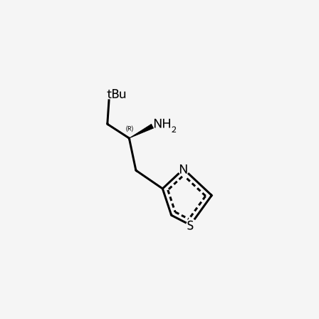 CC(C)(C)C[C@@H](N)Cc1cscn1